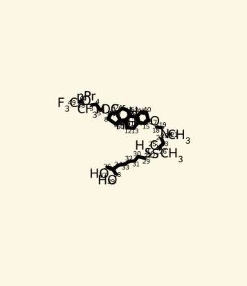 CCCC(OCCCO[C@H]1CC[C@H]2[C@@H]3CCc4cc(OCCN(C)CCC(C)(C)SSCCCCCCC(CO)CO)ccc4[C@H]3CC[C@]12C)(C(F)(F)F)C(F)(F)F